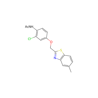 CC(=O)Nc1ccc(OCc2nc3cc(C)ccc3s2)cc1Cl